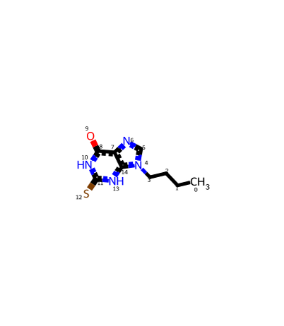 CCCCn1cnc2c(=O)[nH]c(=S)[nH]c21